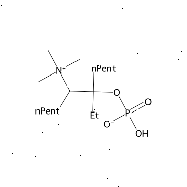 CCCCCC(C(CC)(CCCCC)OP(=O)([O-])O)[N+](C)(C)C